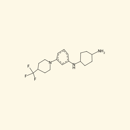 NC1CCC(Nc2cccc(N3CCC(C(F)(F)F)CC3)c2)CC1